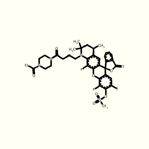 CCC(=O)N1CCN(C(=O)CCCN2c3c(cc4c(c3F)Oc3c(cc(F)c(OS(=O)(=O)C(F)(F)F)c3F)C43OC(=O)c4ccccc43)C(C)CC2(C)C)CC1